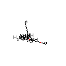 CC(C)(C)OC(=O)CCSCC(COC(=O)NCCCCCCCCCCCC1CCCCC1)OC(=O)NCCCCCCCCCCCC1CCCCC1